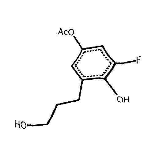 CC(=O)Oc1cc(F)c(O)c(CCCO)c1